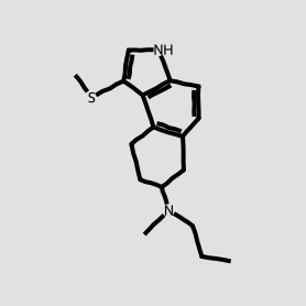 CCCN(C)C1CCc2c(ccc3[nH]cc(SC)c23)C1